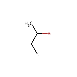 [C]CC(C)Br